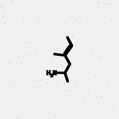 C/C=C(\C)CC(C)N